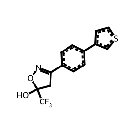 OC1(C(F)(F)F)CC(c2ccc(-c3ccsc3)cc2)=NO1